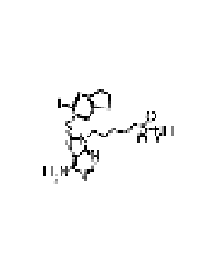 CNS(=O)(=O)CCCCCn1c(Sc2cc3c(cc2I)CCC3)nc2c(N)ncnc21